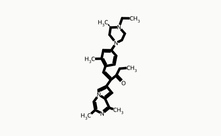 CCC(=O)/C(=C\c1ccc(N2CCN(CC)[C@@H](C)C2)cc1C)c1cc2c(C)nc(C)cn2c1